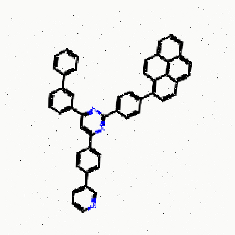 c1ccc(-c2cccc(-c3cc(-c4ccc(-c5cccnc5)cc4)nc(-c4ccc(-c5ccc6ccc7cccc8ccc5c6c78)cc4)n3)c2)cc1